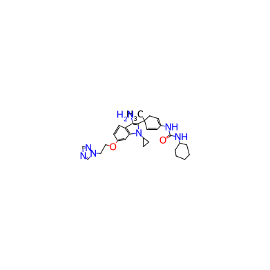 CC1(c2c(N)c3ccc(OCCn4cncn4)cc3n2C2CC2)C=CC(NC(=O)NC2CCCCC2)=CC1